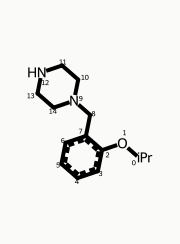 CC(C)Oc1ccccc1CN1CCNCC1